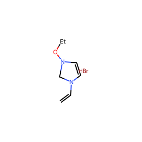 Br.C=CN1C=CN(OCC)C1